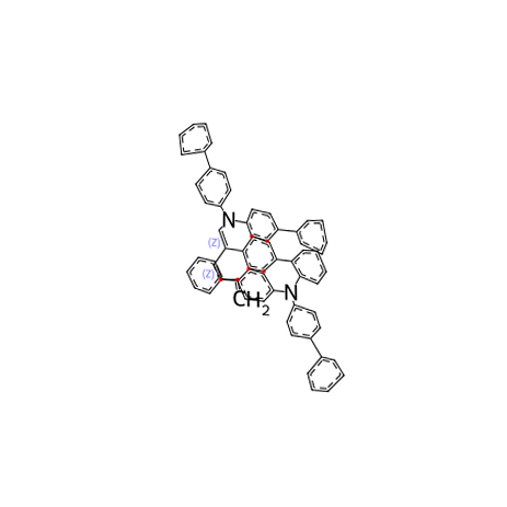 C=C/C=C\C(=C\N(c1ccc(-c2ccccc2)cc1)c1ccc(-c2ccccc2)cc1)c1ccc(-c2ccccc2N(c2ccc(-c3ccccc3)cc2)c2ccc(-c3ccccc3)cc2)cc1